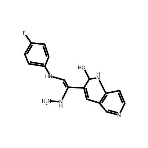 NN/C(=C\Nc1ccc(F)cc1)C1=Cc2cnccc2NC1O